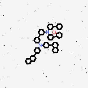 c1ccc(-c2cccc(N(c3cccc(-c4cccc(N(c5ccc(-c6ccc7ccccc7c6)cc5)c5ccc(-c6cccc7ccccc67)cc5)c4)c3)c3cccc4c3oc3ccccc34)c2)cc1